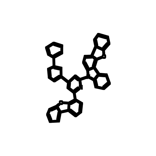 c1ccc(-c2cccc(-c3cc(-c4cccc5c4oc4ccccc45)nc(-n4c5ccccc5c5c6oc7ccccc7c6ccc54)c3)c2)cc1